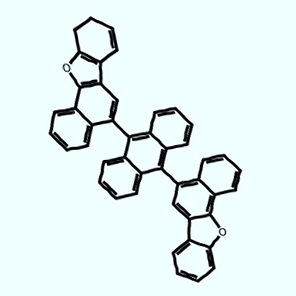 C1=Cc2c(oc3c2cc(-c2c4ccccc4c(-c4cc5c6ccccc6oc5c5ccccc45)c4ccccc24)c2ccccc23)CC1